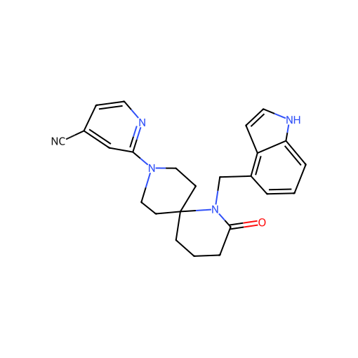 N#Cc1ccnc(N2CCC3(CCCC(=O)N3Cc3cccc4[nH]ccc34)CC2)c1